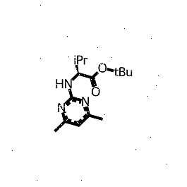 Cc1cc(C)nc(N[C@H](C(=O)OC(C)(C)C)C(C)C)n1